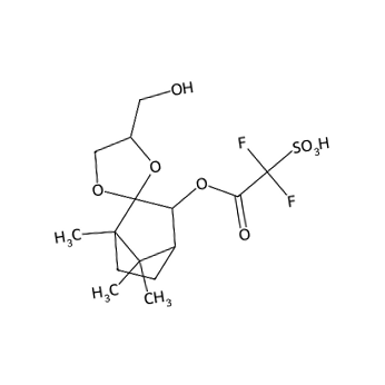 CC1(C)C2CCC1(C)C1(OCC(CO)O1)C2OC(=O)C(F)(F)S(=O)(=O)O